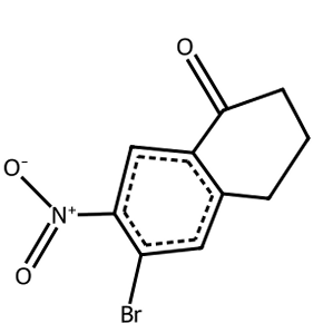 O=C1CCCc2cc(Br)c([N+](=O)[O-])cc21